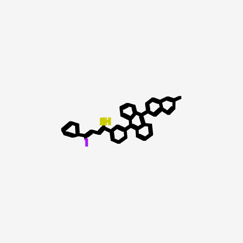 Cc1ccc2cc(-c3c4ccccc4c(C4=CC(/C(S)=C/C=C(\I)c5ccccc5)=CCC4)c4ccccc34)ccc2c1